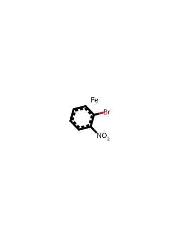 O=[N+]([O-])c1ccccc1Br.[Fe]